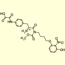 COC(=O)N(CCCCOc1cccc(O)c1[N+](=O)[O-])C(=O)[C@@H](N)Cc1ccc(NC(=O)C(=O)O)cc1